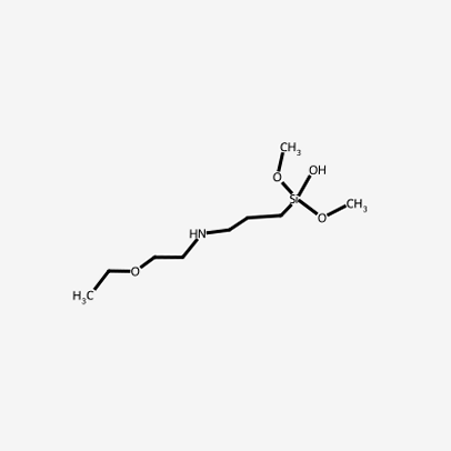 CCOCCNCCC[Si](O)(OC)OC